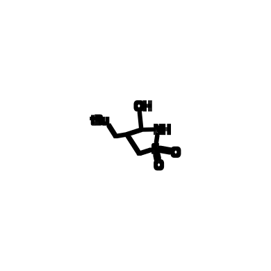 CC(C)(C)CC1CS(=O)(=O)NC1O